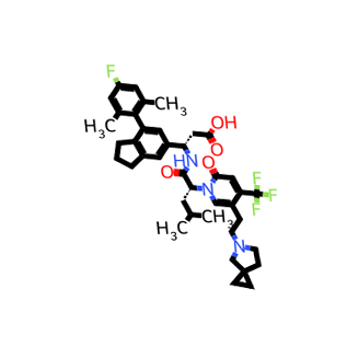 Cc1cc(F)cc(C)c1-c1cc([C@H](CC(=O)O)NC(=O)[C@@H](CC(C)C)n2cc(CCN3CCC4(CC4)C3)c(C(F)(F)F)cc2=O)cc2c1CCC2